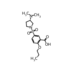 CCCOc1ccc(S(=O)(=O)N2CC[C@@H](N(C)C)C2)cc1C(=O)O